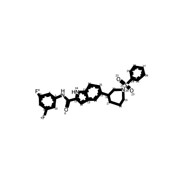 O=C(Nc1cc(F)cc(F)c1)c1cc2cc(C3CCCN(S(=O)(=O)c4ccccc4)C3)ccc2[nH]1